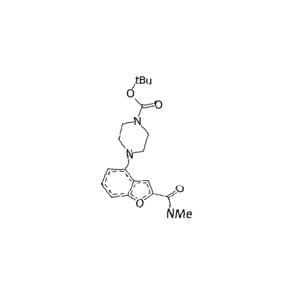 CNC(=O)c1cc2c(N3CCN(C(=O)OC(C)(C)C)CC3)cccc2o1